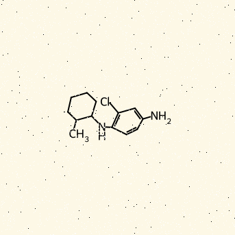 CC1[CH]CCCC1Nc1ccc(N)cc1Cl